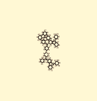 C1=C(c2ccc(N(c3ccc4c(c3)c3ccccc3n4-c3ccccc3)c3cccc4c3-c3ccccc3C43c4ccccc4-c4ccccc43)cc2)CCC(N(c2ccccc2)c2ccc3c(c2)c2ccccc2n3-c2ccccc2)=C1